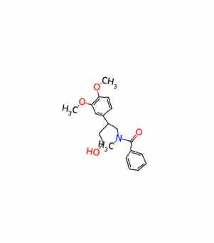 COc1ccc(C(CCO)CN(C)C(=O)c2ccccc2)cc1OC